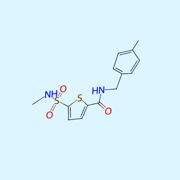 CNS(=O)(=O)c1ccc(C(=O)NCc2ccc(C)cc2)s1